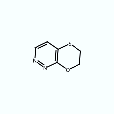 [c]1cc2c(nn1)OCCS2